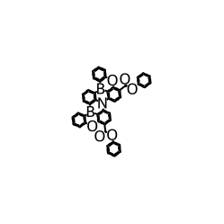 O=C(Oc1ccccc1)c1ccc2c3c1Oc1ccccc1B3c1cccc3c1N2c1ccc(C(=O)Oc2ccccc2)c2c1B3c1ccccc1O2